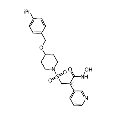 CC(C)c1ccc(COC2CCN(S(=O)(=O)C[C@@H](C(=O)NO)c3cccnc3)CC2)cc1